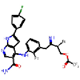 CCc1c(CC(=N)[C@@H](CC)COC(=O)C(F)(F)F)cccc1Nc1c(C(N)=O)cnc2[nH]c(-c3ccc(F)cc3)cc12